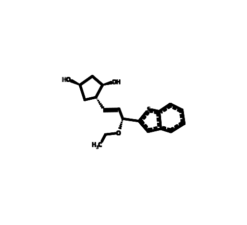 CCO[C@H](/C=C/[C@@H]1C[C@@H](O)C[C@H]1O)c1cc2ccccc2s1